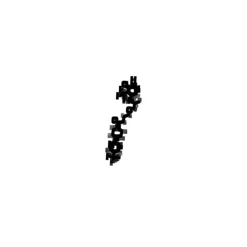 CC(COCCCC(=O)N1CCN(c2ncc(C(F)(F)F)cn2)CC1)Nc1cn[nH]c(=O)c1C(F)(F)F